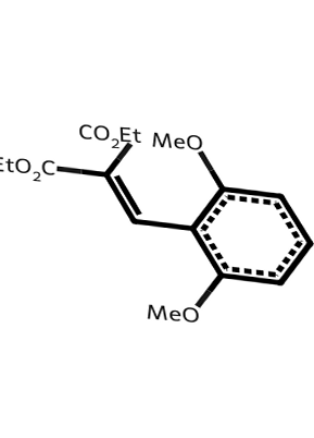 CCOC(=O)C(=Cc1c(OC)cccc1OC)C(=O)OCC